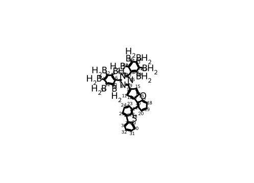 Bc1c(B)c(B)c(-c2nc(-c3ccc4c(c3)oc3cccc(-c5cccc6c5sc5ccccc56)c34)nc(-c3c(B)c(B)c(B)c(B)c3B)n2)c(B)c1B